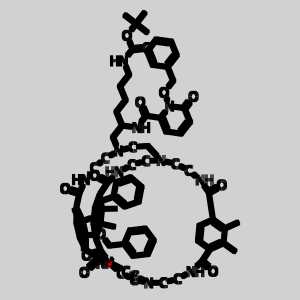 Cc1c2ccc(c1C)C(=O)NCCN1CCNC(=O)c3ccc(c(C)c3C)C(=O)NCCN(CCNC2=O)CCNC(=O)c2ccc(c(OCc3ccccc3)c2OCc2ccccc2)C(=O)NCCN(CC(CCCCNC(=O)OC(C)(C)C)NC(=O)c2cccc(=O)n2OCc2ccccc2)CC1